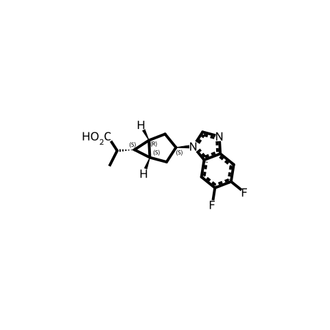 CC(C(=O)O)[C@@H]1[C@@H]2C[C@@H](n3cnc4cc(F)c(F)cc43)C[C@@H]21